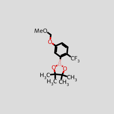 COCOc1ccc(C(F)(F)F)c(B2OC(C)(C)C(C)(C)O2)c1